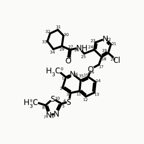 Cc1cc(Sc2nnc(C)s2)c2cccc(OCc3c(Cl)cncc3CNC(=O)C3CCCCC3)c2n1